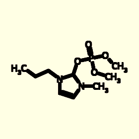 CCCN1C=CN(C)C1OP(=O)(OC)OC